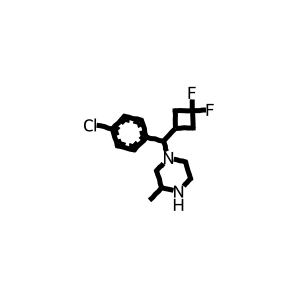 CC1CN(C(c2ccc(Cl)cc2)C2CC(F)(F)C2)CCN1